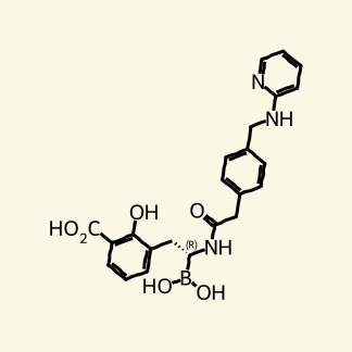 O=C(Cc1ccc(CNc2ccccn2)cc1)N[C@@H](Cc1cccc(C(=O)O)c1O)B(O)O